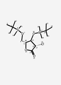 CC(C)(C)[Si](C)(C)OC[C@H]1OC(=O)[C@@H](Cl)C1O[Si](C)(C)C(C)(C)C